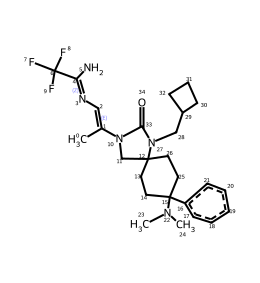 C/C(=C\N=C(/N)C(F)(F)F)N1CC2(CCC(c3ccccc3)(N(C)C)CC2)N(CC2CCC2)C1=O